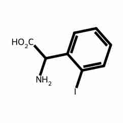 NC(C(=O)O)c1ccccc1I